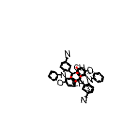 Cc1cc(-c2cc(C#N)ccc2N2c3ccccc3Oc3ccccc32)c(C)cc1-c1cc(C#N)ccc1N1c2ccccc2Oc2ccccc21